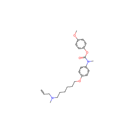 C=CCN(C)CCCCCCOc1ccc(N(C)C(=O)Oc2ccc(OC)cc2)cc1